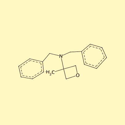 [CH2]C1(N(Cc2ccccc2)Cc2ccccc2)COC1